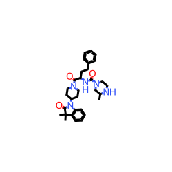 CC1CN(C(=O)NC(CCc2ccccc2)C(=O)N2CCC(N3C(=O)C(C)(C)c4ccccc43)CC2)CCN1